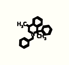 CC1CN(Cc2ccccc2)C(C)(c2ccccc2)c2ccccc21